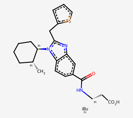 CC[C@H](C)[C@@H](CC(=O)O)NC(=O)c1ccc2c(c1)nc(Cc1cccs1)n2[C@@H]1CCCC[C@H]1C